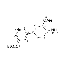 CCOC(=O)c1cncc(N2CCC(N)C(OC)C2)c1